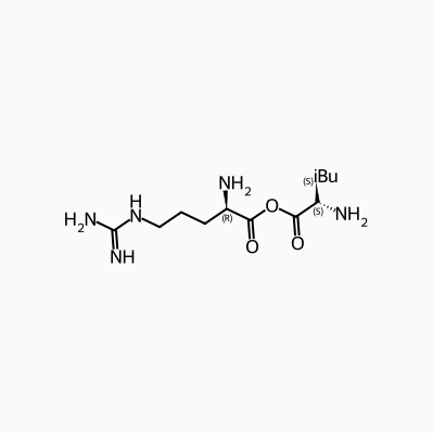 CC[C@H](C)[C@H](N)C(=O)OC(=O)[C@H](N)CCCNC(=N)N